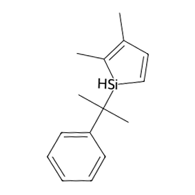 CC1=C(C)[SiH](C(C)(C)c2ccccc2)C=C1